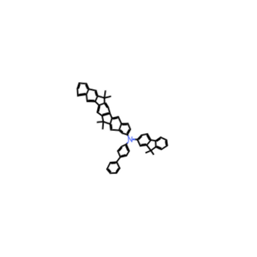 CC1(C)c2ccccc2-c2ccc(N(c3ccc(-c4ccccc4)cc3)c3ccc4cc5c(cc4c3)C(C)(C)c3cc4c(cc3-5)C(C)(C)c3cc5ccccc5cc3-4)cc21